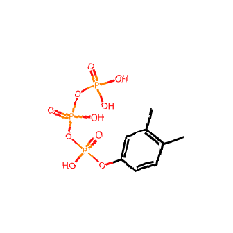 Cc1ccc(OP(=O)(O)OP(=O)(O)OP(=O)(O)O)cc1C